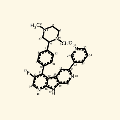 CN1CCN(C=O)C(c2ccc(-c3c(F)cnc4[nH]c5cnc(-c6cccnc6)cc5c34)cc2)C1